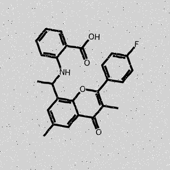 Cc1cc(C(C)Nc2ccccc2C(=O)O)c2oc(-c3ccc(F)cc3)c(C)c(=O)c2c1